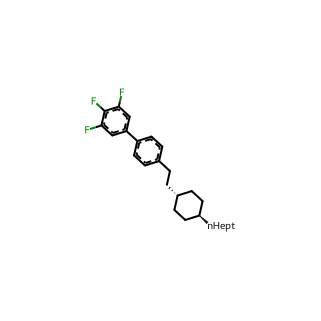 CCCCCCC[C@H]1CC[C@H](CCc2ccc(-c3cc(F)c(F)c(F)c3)cc2)CC1